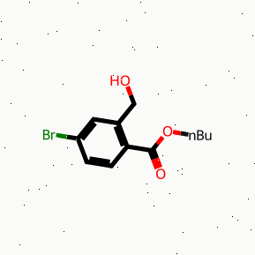 CCCCOC(=O)c1ccc(Br)cc1CO